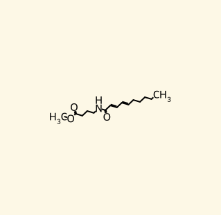 CCCCC/C=C/C=C/C(=O)NCCCC(=O)OC